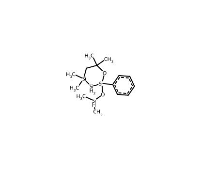 C[SiH](C)O[Si]1(c2ccccc2)OC(C)(C)C[Si](C)(C)[SiH2]1